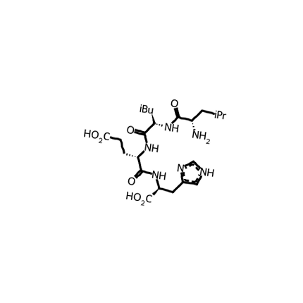 CC[C@H](C)[C@H](NC(=O)[C@@H](N)CC(C)C)C(=O)N[C@@H](CCC(=O)O)C(=O)N[C@@H](Cc1c[nH]cn1)C(=O)O